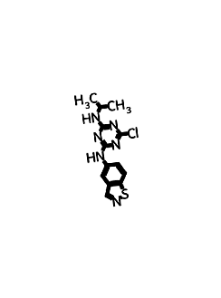 CC(C)Nc1nc(Cl)nc(Nc2ccc3sncc3c2)n1